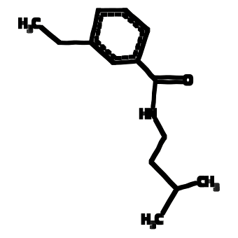 CCc1cccc(C(=O)NCCC(C)C)c1